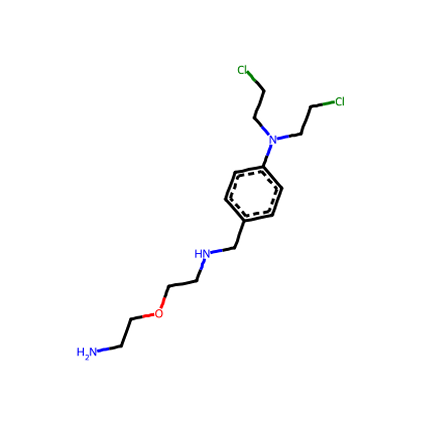 NCCOCCNCc1ccc(N(CCCl)CCCl)cc1